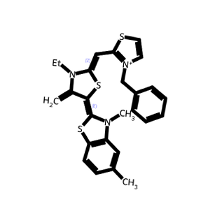 C=C1/C(=C2\Sc3ccc(C)cc3N2C)S/C(=C\c2scc[n+]2Cc2ccccc2)N1CC